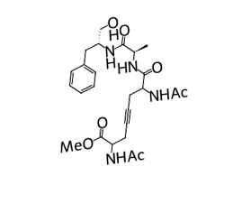 COC(=O)C(CC#CCC(NC(C)=O)C(=O)N[C@H](C)C(=O)N[C@@H](CO)Cc1ccccc1)NC(C)=O